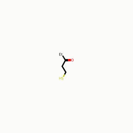 CCC(=O)CCS